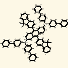 CC1(C)c2ccccc2-c2ccc(-c3c4ccc(N(c5ccc(-c6ccccc6)cc5)c5ccc(-c6ccccc6)cc5)cc4c(-c4ccc5c(c4)C(C)(C)c4ccccc4-5)c4ccc(N(c5ccc(-c6ccccc6)cc5)c5ccc(-c6ccccc6)cc5)cc34)cc21